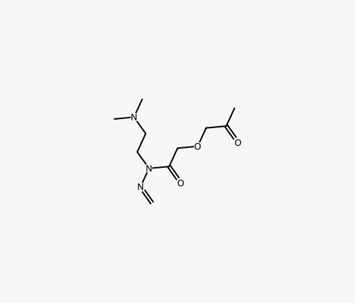 C=NN(CCN(C)C)C(=O)COCC(C)=O